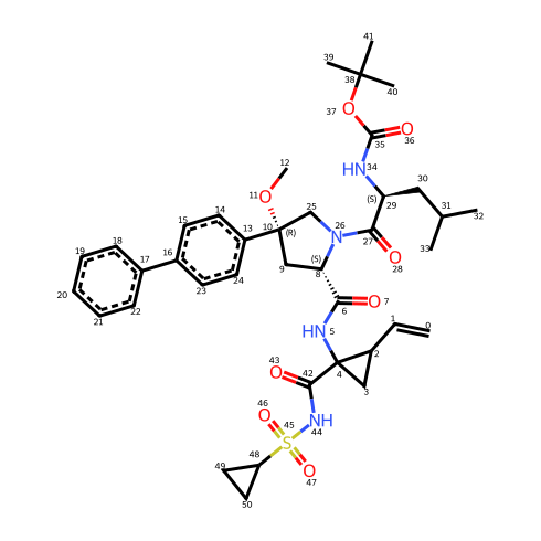 C=CC1CC1(NC(=O)[C@@H]1C[C@@](OC)(c2ccc(-c3ccccc3)cc2)CN1C(=O)[C@H](CC(C)C)NC(=O)OC(C)(C)C)C(=O)NS(=O)(=O)C1CC1